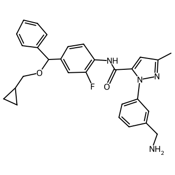 Cc1cc(C(=O)Nc2ccc(C(OCC3CC3)c3ccccc3)cc2F)n(-c2cccc(CN)c2)n1